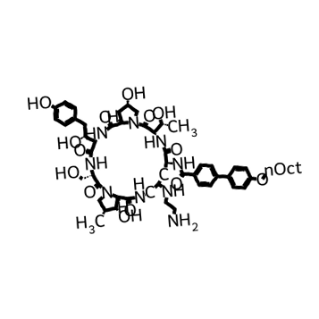 CCCCCCCCOc1ccc(-c2ccc(C(=O)N[C@H]3CC(NCCN)CNC(=O)[C@@H]4[C@@H](O)[C@@H](C)CN4C(=O)[C@H](CO)NC(=O)[C@H]([C@H](O)Cc4ccc(O)cc4)NC(=O)[C@@H]4C[C@@H](O)CN4C(=O)[C@H]([C@@H](C)O)NC3=O)cc2)cc1